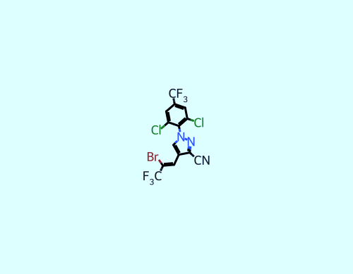 N#Cc1nn(-c2c(Cl)cc(C(F)(F)F)cc2Cl)cc1C=C(Br)C(F)(F)F